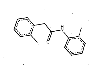 O=C(Cc1ccccc1I)Nc1ccccc1I